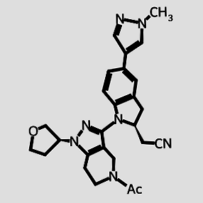 CC(=O)N1CCc2c(c(N3c4ccc(-c5cnn(C)c5)cc4C[C@H]3CC#N)nn2[C@H]2CCOC2)C1